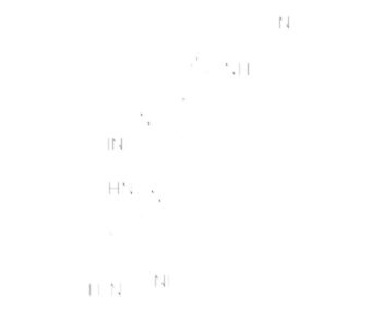 N=C(N)c1ccc2[nH]c(C(Cc3ccc(C(=O)NCc4cccnc4)cc3)c3nc4ccccc4[nH]3)nc2c1